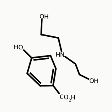 O=C(O)c1ccc(O)cc1.OCCNCCO